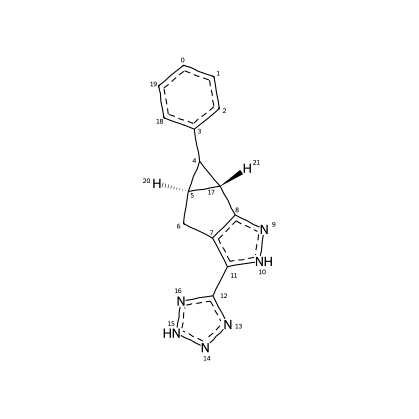 c1ccc(C2[C@@H]3Cc4c(n[nH]c4-c4nn[nH]n4)[C@@H]23)cc1